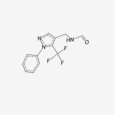 O=CNCc1cnn(-c2ccccc2)c1C(F)(F)F